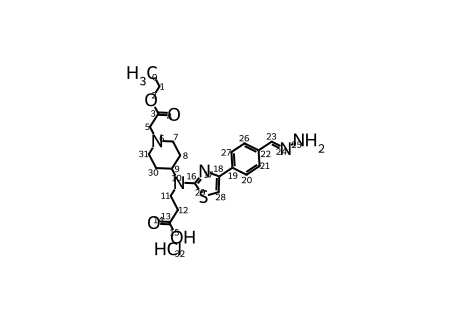 CCOC(=O)CN1CCC(N(CCC(=O)O)c2nc(-c3ccc(C=NN)cc3)cs2)CC1.Cl